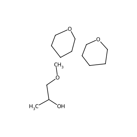 C1CCOCC1.C1CCOCC1.COCC(C)O